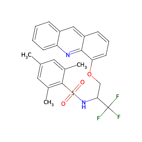 Cc1cc(C)c(S(=O)(=O)NC(COc2cccc3cc4ccccc4nc23)C(F)(F)F)c(C)c1